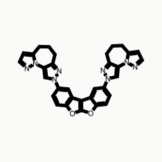 c1cc2n(n1)-c1cn(-c3ccc4oc5oc6ccc(-n7cc8c(n7)CCCc7ccnn7-8)cc6c5c4c3)nc1CCC2